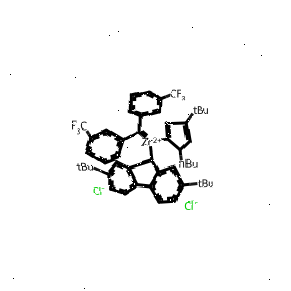 CCCCC1C=C(C(C)(C)C)C=[C]1[Zr+2](=[C](c1cccc(C(F)(F)F)c1)c1cccc(C(F)(F)F)c1)[CH]1c2cc(C(C)(C)C)ccc2-c2ccc(C(C)(C)C)cc21.[Cl-].[Cl-]